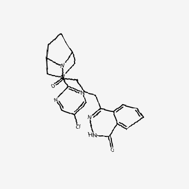 O=C(CCCc1n[nH]c(=O)c2ccccc12)N1C2CCC1CN(c1ncc(Cl)cn1)C2